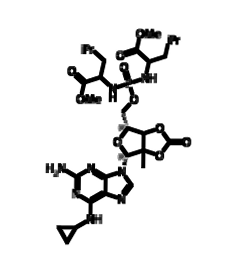 COC(=O)C(CC(C)C)NP(=O)(NC(CC(C)C)C(=O)OC)OC[C@H]1O[C@@H](n2cnc3c(NC4CC4)nc(N)nc32)C2(C)OC(=O)OC12